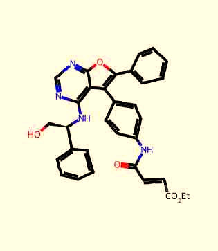 CCOC(=O)/C=C/C(=O)Nc1ccc(-c2c(-c3ccccc3)oc3ncnc(N[C@H](CO)c4ccccc4)c23)cc1